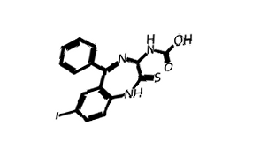 O=C(O)NC1N=C(c2ccccc2)c2cc(I)ccc2NC1=S